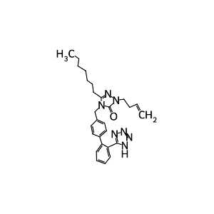 C=CCCn1nc(CCCCCCC)n(Cc2ccc(-c3ccccc3-c3nnn[nH]3)cc2)c1=O